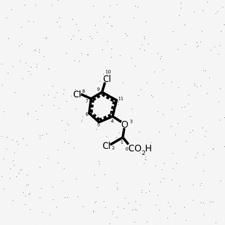 O=C(O)C(Cl)Oc1ccc(Cl)c(Cl)c1